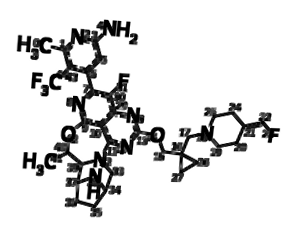 Cc1nc(N)cc(-c2nc3c4c(nc(OCC5(CN6CCC(=CF)CC6)CC5)nc4c2F)N2CC4CCC(N4)C2C(C)O3)c1C(F)(F)F